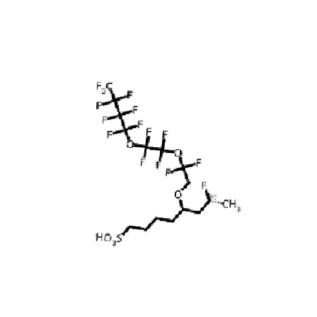 C[C@@H](F)CC(CCCCS(=O)(=O)O)OCC(F)(F)OC(F)(F)C(F)(F)OC(F)(F)C(F)(F)C(F)(F)C(F)(F)F